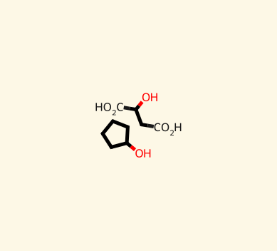 O=C(O)CC(O)C(=O)O.OC1CCCC1